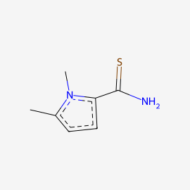 Cc1ccc(C(N)=S)n1C